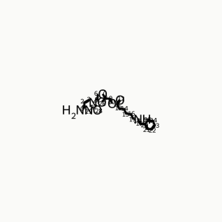 Nc1ccn(C2COC(COC(=O)CCCCCNCc3ccccc3)O2)c(=O)n1